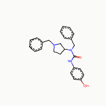 O=C(Nc1ccc(O)cc1)N(Cc1ccccc1)C1CCN(Cc2ccccc2)C1